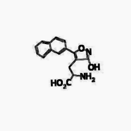 NC(Cc1c(O)noc1-c1ccc2ccccc2c1)C(=O)O